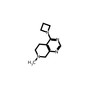 CN1CCc2c(ncnc2N2CCC2)C1